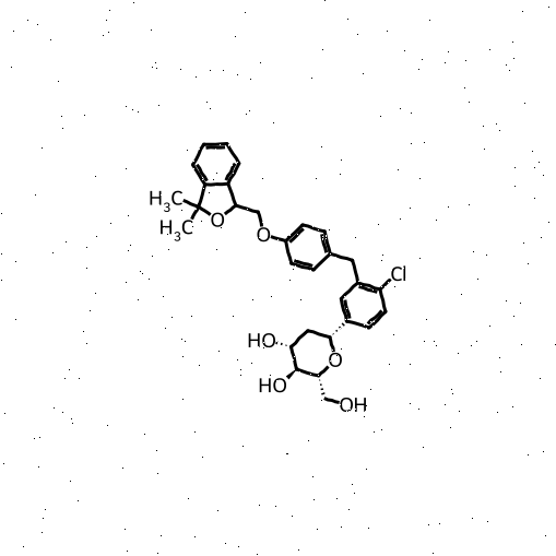 CC1(C)OC(COc2ccc(Cc3cc([C@H]4C[C@@H](O)[C@H](O)[C@@H](CO)O4)ccc3Cl)cc2)c2ccccc21